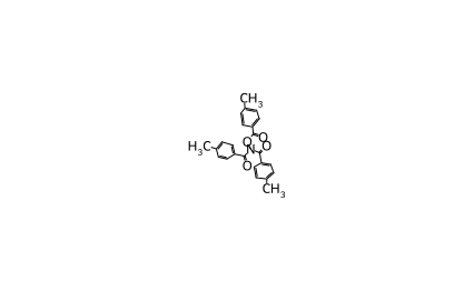 Cc1ccc(C(=O)ON(C(=O)c2ccc(C)cc2)C(=O)c2ccc(C)cc2)cc1